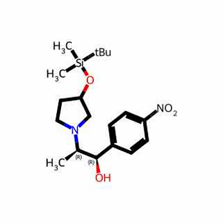 C[C@H]([C@H](O)c1ccc([N+](=O)[O-])cc1)N1CCC(O[Si](C)(C)C(C)(C)C)C1